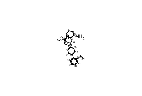 COC(=O)N1CCC[C@H](N)[C@@H]1CO[C@H]1CC[C@@H](c2ccccc2OC)CC1